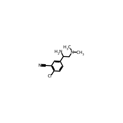 CN(C)CC(N)c1ccc(Cl)c(C#N)c1